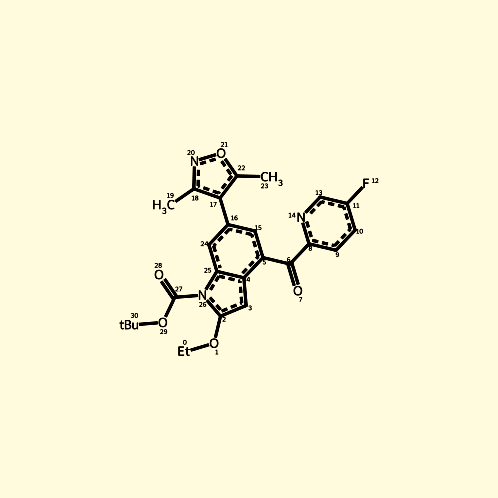 CCOc1cc2c(C(=O)c3ccc(F)cn3)cc(-c3c(C)noc3C)cc2n1C(=O)OC(C)(C)C